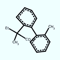 CCC(C)(C(=O)O)c1ccccc1-c1ccccc1C